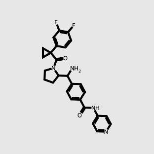 NC(c1ccc(C(=O)Nc2ccncc2)cc1)C1CCCN1C(=O)C1(c2ccc(F)c(F)c2)CC1